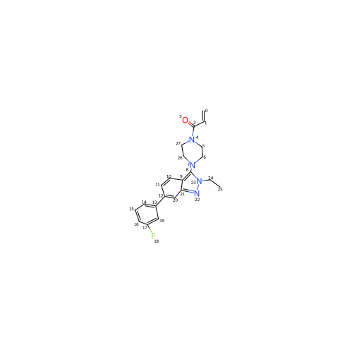 C=CC(=O)N1CCN(c2c3ccc(-c4cccc(F)c4)cc3nn2CC)CC1